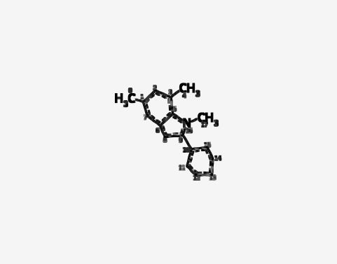 Cc1cc(C)c2c(c1)cc(-c1ccccc1)n2C